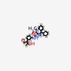 CN1C(=O)[C@H](NC(=O)Nc2cccc(C3=C(O)CSC3=O)c2)N=C(C2CCCCC2)c2ccccc21